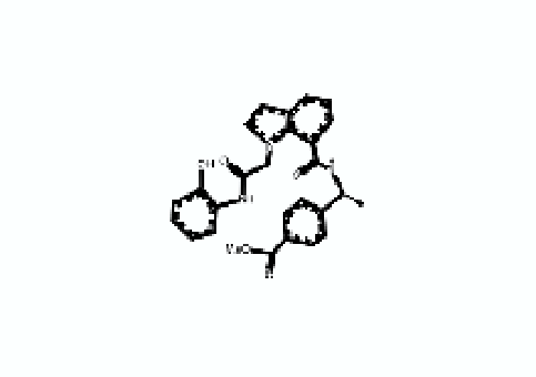 COC(=O)c1ccc([C@H](C)NC(=O)c2cccc3ccn(CC(=O)Nc4ccccc4O)c23)cc1